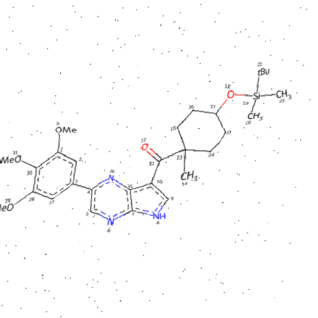 COc1cc(-c2cnc3[nH]cc(C(=O)C4(C)CCC(O[Si](C)(C)C(C)(C)C)CC4)c3n2)cc(OC)c1OC